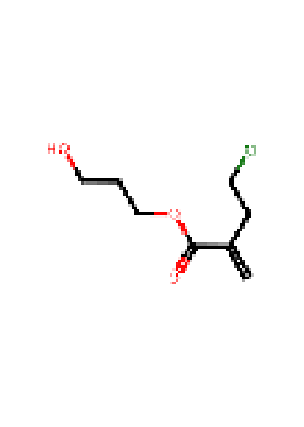 C=C(CCCl)C(=O)OCCCO